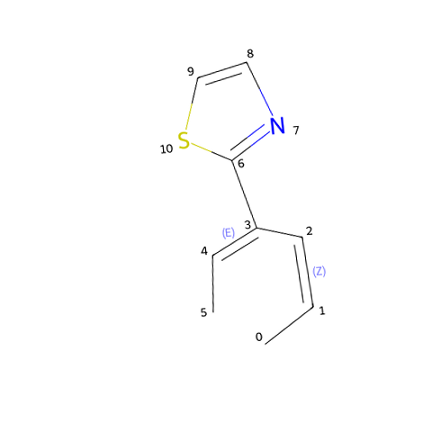 C/C=C\C(=C/C)c1nccs1